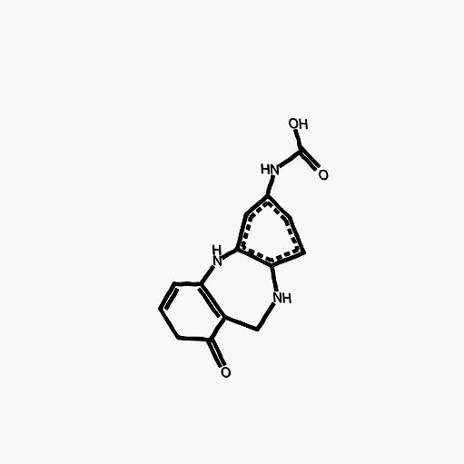 O=C(O)Nc1ccc2c(c1)NC1=C(CN2)C(=O)CC=C1